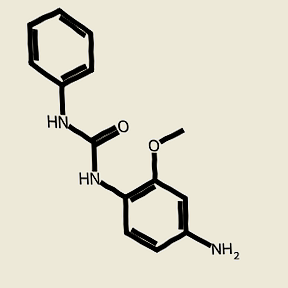 COc1cc(N)ccc1NC(=O)Nc1ccccc1